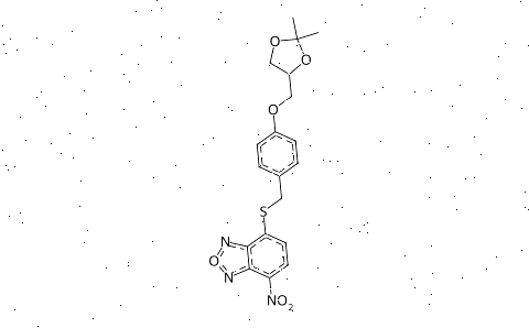 CC1(C)OCC(COc2ccc(CSc3ccc([N+](=O)[O-])c4nonc34)cc2)O1